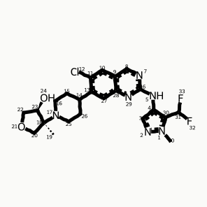 Cn1ncc(Nc2ncc3cc(Cl)c(C4CCN([C@@]5(C)COC[C@H]5O)CC4)cc3n2)c1C(F)F